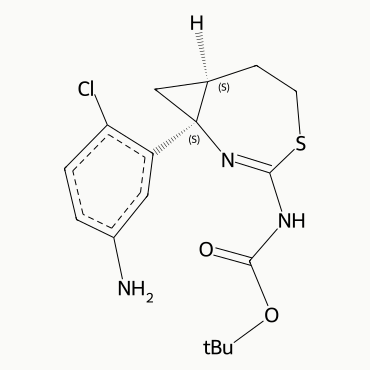 CC(C)(C)OC(=O)NC1=N[C@@]2(c3cc(N)ccc3Cl)C[C@H]2CCS1